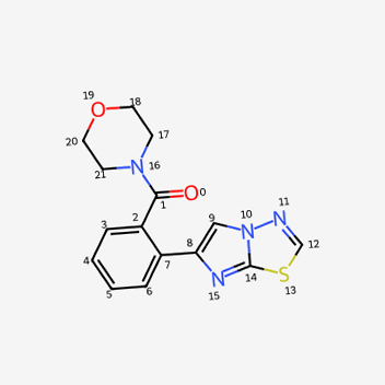 O=C(c1ccccc1-c1cn2ncsc2n1)N1CCOCC1